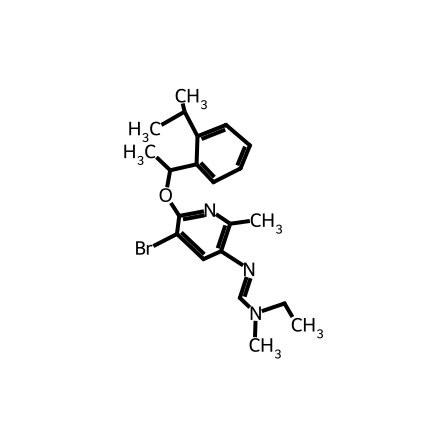 CCN(C)/C=N/c1cc(Br)c(OC(C)c2ccccc2C(C)C)nc1C